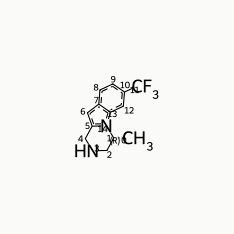 C[C@@H]1CNCc2cc3ccc(C(F)(F)F)cc3n21